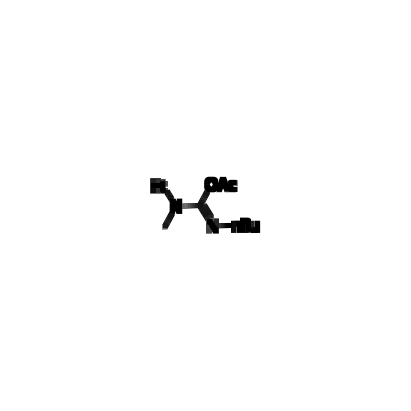 CCCC/N=C(\OC(C)=O)N(C)CC